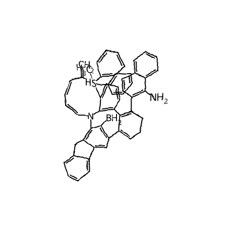 Bc1c2cc3c(c1N1/C=C\C=C/C(=C)[SH](C)(c4ccccc4)(c4ccccc4)c4cccc(c41)C1=C(c4ccc5ccccc5c4N)CCC=C12)Cc1ccccc1-3